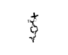 CN(C)CN1CCN(C(=O)OC(C)(C)C)CC1